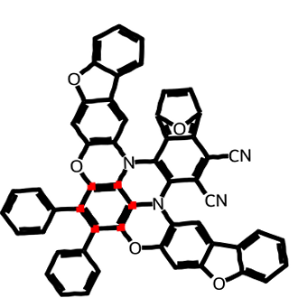 N#Cc1c(N2c3ccc(-c4ccccc4)cc3Oc3cc4oc5ccccc5c4cc32)c(N2c3ccc(-c4ccccc4)cc3Oc3cc4oc5ccccc5c4cc32)c2c3ccc(o3)c2c1C#N